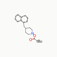 CC(C)(C)C(=O)ON1CCC(Cc2cccc3ccccc23)CC1